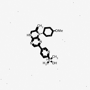 C=C1CNc2ncc(-c3ccc([14C](C)(C)O)nc3)nc2N1[C@H]1CC[C@H](OC)CC1